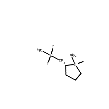 CCCC[N+]1(C)CCCC1.N#C[B-](F)(F)C(F)(F)F